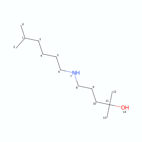 CC(C)CCCCNCCCC(C)(C)O